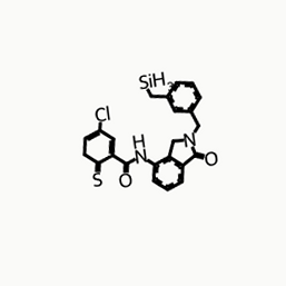 O=C(Nc1cccc2c1CN(Cc1cccc(C[SiH3])c1)C2=O)C1=CC(Cl)=CCC1=S